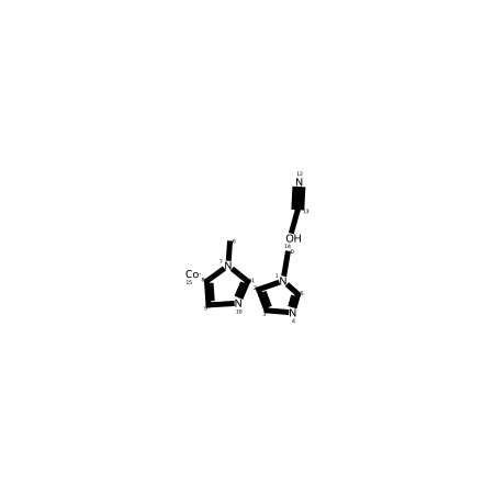 Cn1ccnc1.Cn1ccnc1.N#CO.[Co]